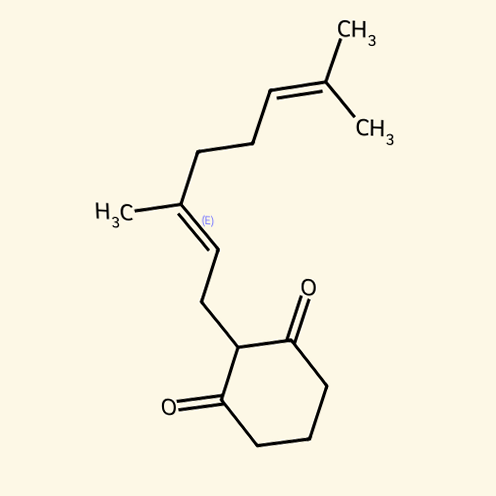 CC(C)=CCC/C(C)=C/CC1C(=O)CCCC1=O